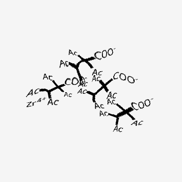 CC(=O)C(C(C)=O)C(C(C)=O)(C(C)=O)C(=O)[O-].CC(=O)C(C(C)=O)C(C(C)=O)(C(C)=O)C(=O)[O-].CC(=O)C(C(C)=O)C(C(C)=O)(C(C)=O)C(=O)[O-].CC(=O)C(C(C)=O)C(C(C)=O)(C(C)=O)C(=O)[O-].[Zr+4]